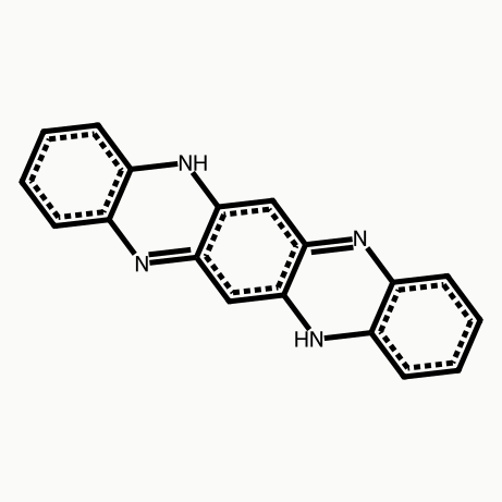 c1ccc2c(c1)N=c1cc3c(cc1N2)=Nc1ccccc1N3